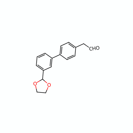 O=CCc1ccc(-c2cccc(C3OCCO3)c2)cc1